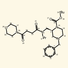 CC(C)N(C[C@@H]1CN(Cc2ccccc2)CCN1C(=O)OC(C)(C)C)C(=O)CCC(=O)N1CCOCC1